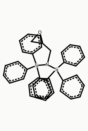 c1ccc([Si](c2ccccc2)(c2ccccc2)N(CC2CO2)[Si](c2ccccc2)(c2ccccc2)c2ccccc2)cc1